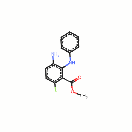 COC(=O)c1c(F)ccc(N)c1Nc1ccccc1